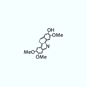 COc1cc2c(cc1O)=CCC1=c3cc(OC)c(OC)cc3=CN(C)C=21